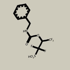 O=C(NCc1ccccc1)OC(C(F)(F)F)C(F)(F)S(=O)(=O)O